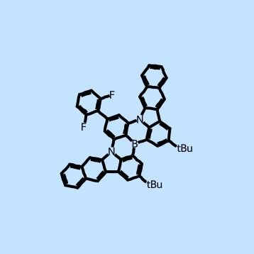 CC(C)(C)c1cc2c3c(c1)c1cc4ccccc4cc1n3-c1cc(-c3c(F)cccc3F)cc3c1B2c1cc(C(C)(C)C)cc2c4cc5ccccc5cc4n-3c12